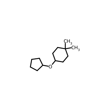 CC1(C)CCC(OC2CCCC2)CC1